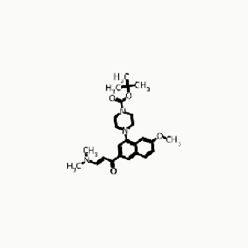 COc1ccc2cc(C(=O)/C=C/N(C)C)cc(N3CCN(C(=O)OC(C)(C)C)CC3)c2c1